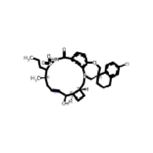 CCCC1[C@H](C)C/C=C/C(O)[C@@H]2CC[C@H]2CN2C[C@@]3(CCCc4cc(Cl)ccc43)COc3ccc(cc32)C(=O)NS1(=O)=O